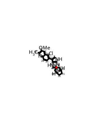 COc1cc2c(Cl)c(-c3c[nH]c4nc(N5[C@@H]6CC[C@H]5C[C@@H](N)C6)cnc34)ccc2nc1C